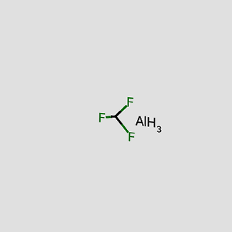 F[C](F)F.[AlH3]